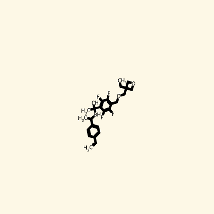 C=Cc1ccc(C(C)BC(C)(C)c2c(F)c(F)c(COCC3(CC)COC3)c(F)c2F)cc1